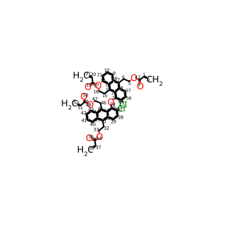 C=CC(=O)OCCc1c2ccccc2c(CCOC(=O)C=C)c2c(Oc3c(Cl)ccc4c(CCOC(=O)C=C)c5ccccc5c(CCOC(=O)C=C)c34)c(Cl)ccc12